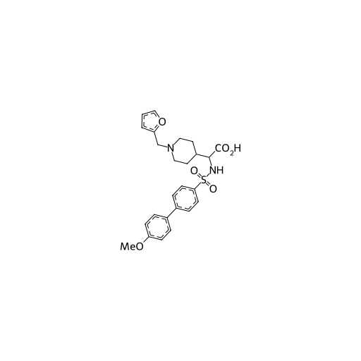 COc1ccc(-c2ccc(S(=O)(=O)NC(C(=O)O)C3CCN(Cc4ccco4)CC3)cc2)cc1